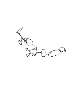 O=C(C1CC1)N1CC[C@H](CN2C(=O)C3(CC3)N=C2C2C=CC(C3=Cc4ccsc4CC3)CC2)C1